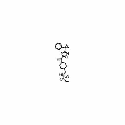 CCS(=O)(=O)NC[C@H]1CC[C@H](Nc2nc(C3(c4ccccc4)CC3)no2)CC1